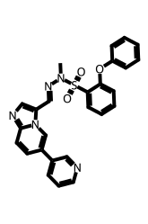 CN(N=Cc1cnc2ccc(-c3cccnc3)cn12)S(=O)(=O)c1ccccc1Oc1ccccc1